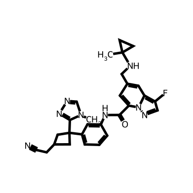 Cn1cnnc1C1(c2cccc(NC(=O)c3cc(CNC4(C)CC4)cc4c(F)cnn34)c2)CC(CC#N)C1